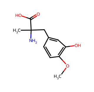 COc1ccc(CC(C)(N)C(=O)O)cc1O